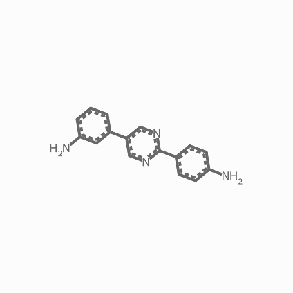 Nc1ccc(-c2ncc(-c3cccc(N)c3)cn2)cc1